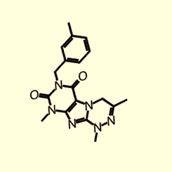 CC1=NN(C)c2nc3c(c(=O)n(Cc4cccc(C)c4)c(=O)n3C)n2C1